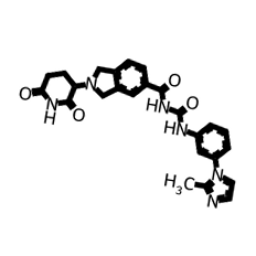 Cc1nccn1-c1cccc(NC(=O)NC(=O)c2ccc3c(c2)CN(C2CCC(=O)NC2=O)C3)c1